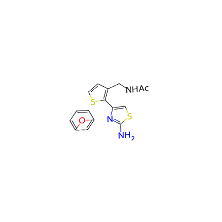 CC(=O)NCc1ccsc1-c1csc(N)n1.c1cc2cc(c1)O2